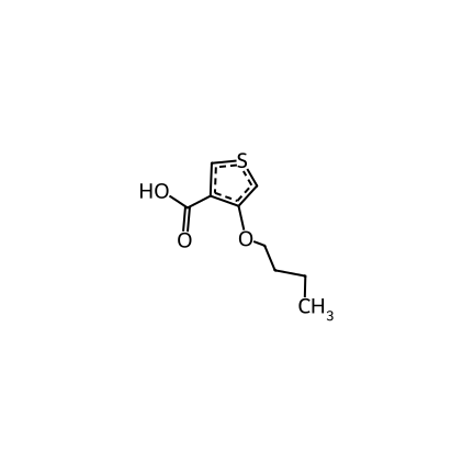 CCCCOc1cscc1C(=O)O